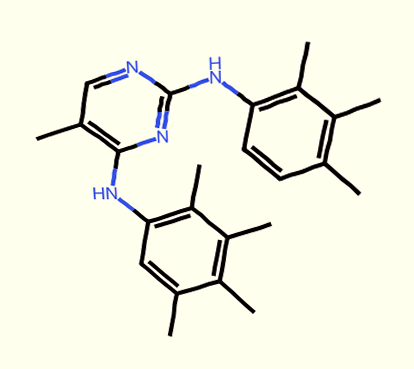 Cc1cnc(Nc2ccc(C)c(C)c2C)nc1Nc1cc(C)c(C)c(C)c1C